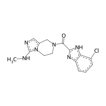 CNc1ncc2n1CCN(C(=O)c1nc3cccc(Cl)c3[nH]1)C2